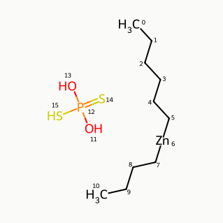 CCCCC[CH2][Zn][CH2]CCC.OP(O)(=S)S